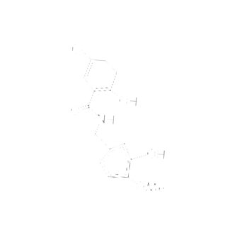 COc1ccc(CNC(=O)C2=C(O)CCC(Cl)=C2)cc1O